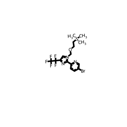 CS(C)(C)CCOCn1cc(C(F)(F)C(F)(F)F)nc1-c1ccc(Br)cn1